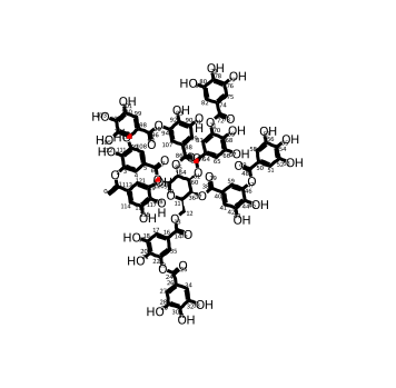 C=C(Oc1cc(C(=O)O[C@H]2O[C@H](COC(=O)c3cc(O)c(O)c(OC(=O)c4cc(O)c(O)c(O)c4)c3)[C@H](OC(=O)c3cc(O)c(O)c(OC(=O)c4cc(O)c(O)c(O)c4)c3)[C@H](OC(=O)c3cc(O)c(O)c(OC(=O)c4cc(O)c(O)c(O)c4)c3)[C@H]2OC(=O)c2cc(O)c(O)c(OC(=O)c3cc(O)c(O)c(O)c3)c2)cc(O)c1O)c1cc(O)c(O)c(O)c1